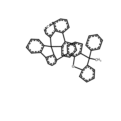 CC1(c2ccccc2)c2ccccc2Oc2c(-c3cccc4c3C3(c5ccccc5-4)c4ccccc4-c4cccc5cccc3c45)cccc21